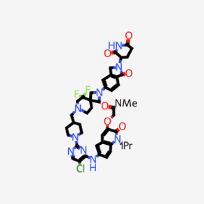 CNC(=O)COc1cc2cc(Nc3nc(N4CCC(CN5CCC6(CN(c7ccc8c(c7)CN(C7CCC(=O)NC7=O)C8=O)C6)C(F)(F)C5)CC4)ncc3Cl)ccc2n(C(C)C)c1=O